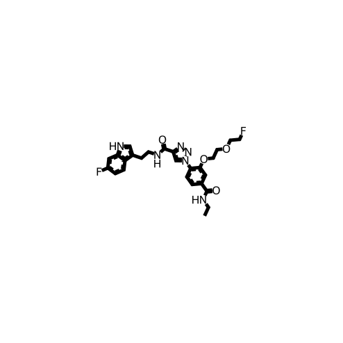 CCNC(=O)c1ccc(-n2cc(C(=O)NCCc3c[nH]c4cc(F)ccc34)nn2)c(OCCOCCF)c1